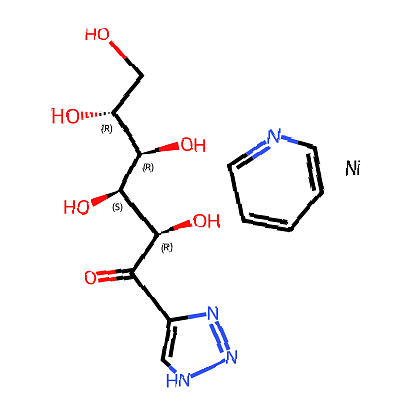 O=C(c1c[nH]nn1)[C@H](O)[C@@H](O)[C@H](O)[C@H](O)CO.[Ni].c1ccncc1